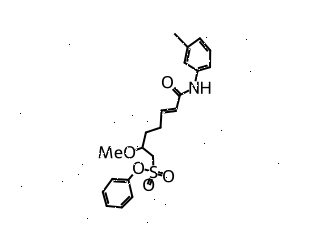 COC(CCC=CC(=O)Nc1cccc(C)c1)CS(=O)(=O)Oc1ccccc1